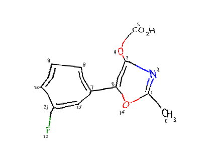 Cc1nc(OC(=O)O)c(-c2cccc(F)c2)o1